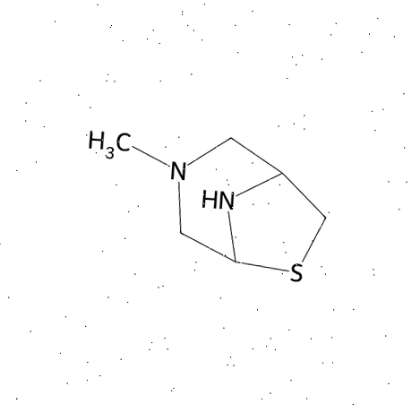 CN1CC2CSC(C1)N2